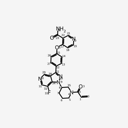 C=CC(=O)N1CCC[C@@H](n2nc(-c3ccc(Oc4ccncc4C(N)=O)cc3)c3cncc(F)c32)C1